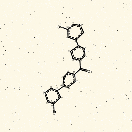 O=C(c1ccc(-c2cncc(Br)c2)cc1)c1ccc(-c2cncc(Br)c2)cc1